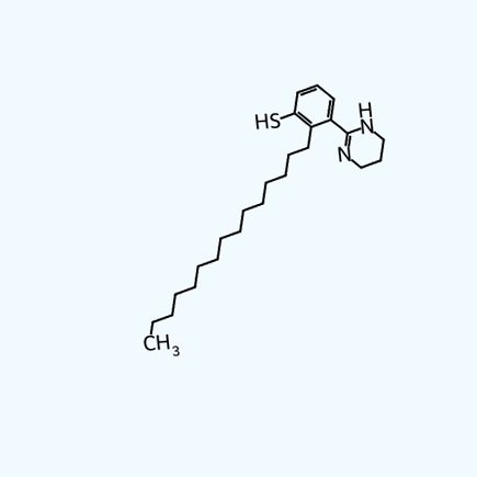 CCCCCCCCCCCCCCCc1c(S)cccc1C1=NCCCN1